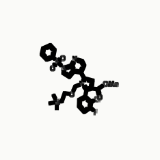 COC(=O)c1cc(-c2ccnc3c2ccn3S(=O)(=O)c2ccccc2)n(COCC[Si](C)(C)C)c1-c1cccc(F)c1Cl